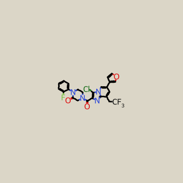 O=C(c1nc2c(CC(F)(F)F)cc(-c3ccoc3)cn2c1Cl)N1CCN(c2ccccc2F)C(=O)C1